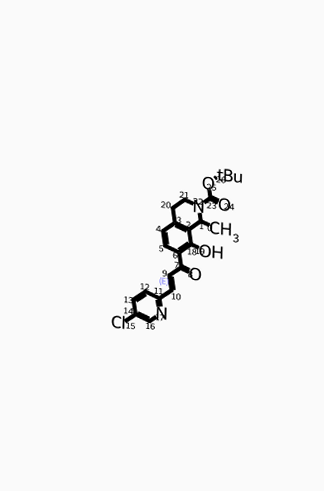 CC1c2c(ccc(C(=O)/C=C/c3ccc(Cl)cn3)c2O)CCN1C(=O)OC(C)(C)C